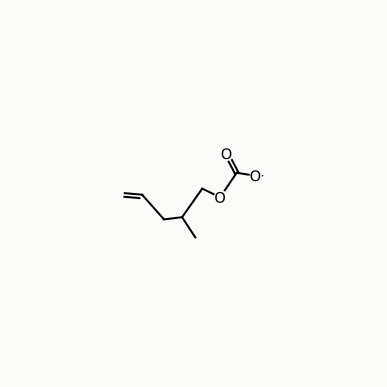 C=CCC(C)COC([O])=O